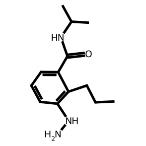 CCCc1c(NN)cccc1C(=O)NC(C)C